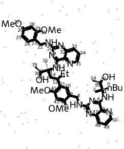 CCCC[C@](C)(Nc1nc(NCc2cc(C(CC)C[C@](C)(Nc3nc(NCc4ccc(OC)cc4OC)nc4cccnc34)[C@H](C)O)c(OC)cc2OC)nc2cccnc12)[C@@H](C)O